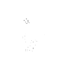 N#CCC1CCN(c2nc([AsH]c3ccc(N4CCC(Cc5nn[nH]n5)CC4)nc3)c3c(=O)[nH]ncc3n2)CC1